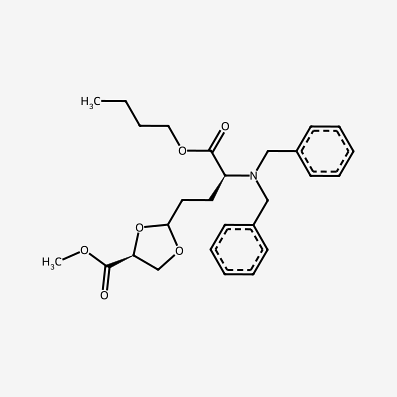 CCCCOC(=O)[C@H](CCC1OC[C@@H](C(=O)OC)O1)N(Cc1ccccc1)Cc1ccccc1